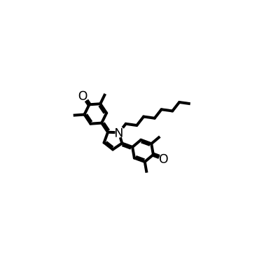 CCCCCCCCn1c(=C2C=C(C)C(=O)C(C)=C2)ccc1=C1C=C(C)C(=O)C(C)=C1